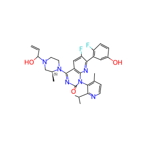 C=CC(O)N1CCN(c2nc(=O)n(-c3c(C)ccnc3C(C)C)c3nc(-c4cc(O)ccc4F)c(F)cc23)[C@@H](C)C1